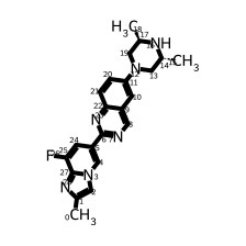 Cc1cn2cc(-c3ncc4cc(N5C[C@@H](C)N[C@H](C)C5)ccc4n3)cc(F)c2n1